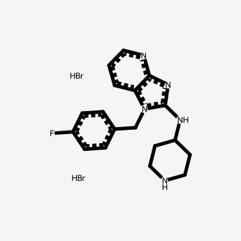 Br.Br.Fc1ccc(Cn2c(NC3CCNCC3)nc3ncccc32)cc1